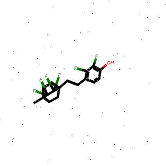 CC12CCC(CCc3ccc(O)c(F)c3F)(CC1)C(F)(F)C2(F)F